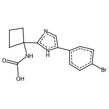 O=C(O)NC1(c2ncc(-c3ccc(Br)cc3)[nH]2)CCC1